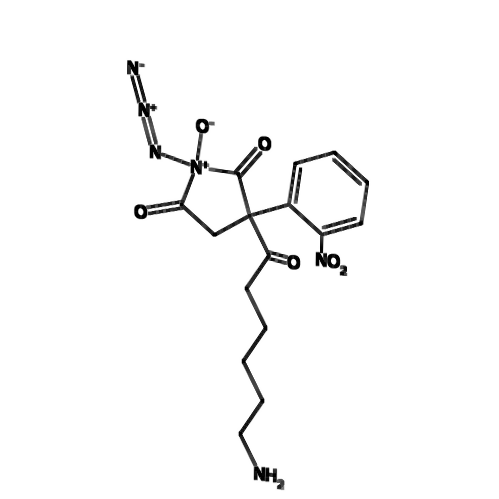 [N-]=[N+]=N[N+]1([O-])C(=O)CC(C(=O)CCCCCN)(c2ccccc2[N+](=O)[O-])C1=O